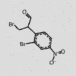 O=CC(CBr)c1ccc([N+](=O)[O-])cc1Br